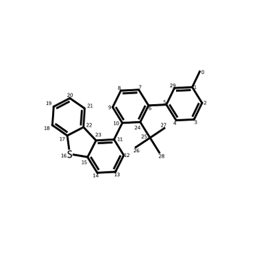 Cc1cccc(-c2cccc(-c3cccc4sc5ccccc5c34)c2C(C)(C)C)c1